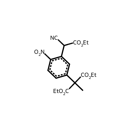 CCOC(=O)C(C#N)c1cc(C(C)(C(=O)OCC)C(=O)OCC)ccc1[N+](=O)[O-]